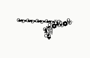 COCCOCCOCCOCCOCCOCCOCCOCCN(C)C(=O)C(OC(=O)Oc1ccc([N+](=O)[O-])cc1)c1ccc(NC(=O)[C@H](C)NC(=O)[C@H](C)NC(=O)OC(C)(C)C)cc1